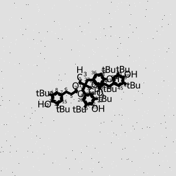 CC(OC(=O)CCc1cc(C(C)(C)C)c(O)c(C(C)(C)C)c1)C(Cc1cc(C(C)(C)C)c(O)c(C(C)(C)C)c1)(Cc1cc(C(C)(C)C)c(O)c(C(C)(C)C)c1)C(C)OC(=O)CCc1cc(C(C)(C)C)c(O)c(C(C)(C)C)c1